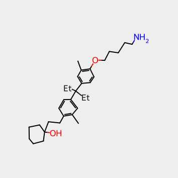 CCC(CC)(c1ccc(CCC2(O)CCCCC2)c(C)c1)c1ccc(OCCCCCN)c(C)c1